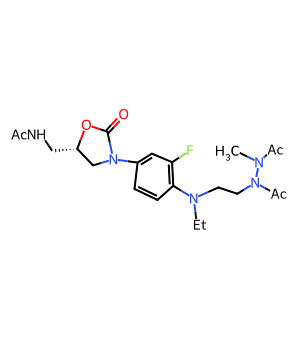 CCN(CCN(C(C)=O)N(C)C(C)=O)c1ccc(N2C[C@H](CNC(C)=O)OC2=O)cc1F